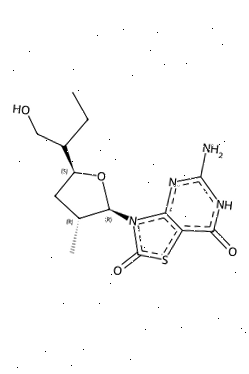 CCC(CO)[C@@H]1C[C@@H](C)[C@H](n2c(=O)sc3c(=O)[nH]c(N)nc32)O1